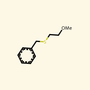 COCCSCc1ccccc1